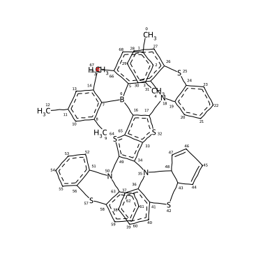 Cc1cc(C)c(B(c2c(C)cc(C)cc2C)c2c(N3c4ccccc4Sc4ccccc43)sc3c(N4c5ccccc5SC5C=CC=CC54)c(N4c5ccccc5Sc5ccccc54)sc23)c(C)c1